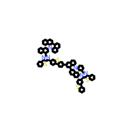 c1cc(-c2nc(-c3ccc4sc5ccccc5c4c3)c3sc4ccccc4c3n2)cc(N2c3c(ccc4ccccc34)-c3cc(-c4ccc5c(c4)sc4cc(-c6nc(-c7cc(N8c9c(ccc%10ccccc9%10)-c9cccc%10cccc8c9%10)cc8ccccc78)nc7c6sc6ccccc67)ccc45)cc4cccc2c34)c1